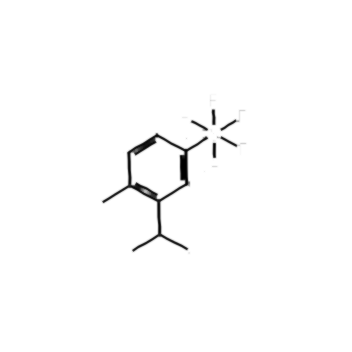 Cc1ccc(S(F)(F)(F)(F)F)cc1C(C)C